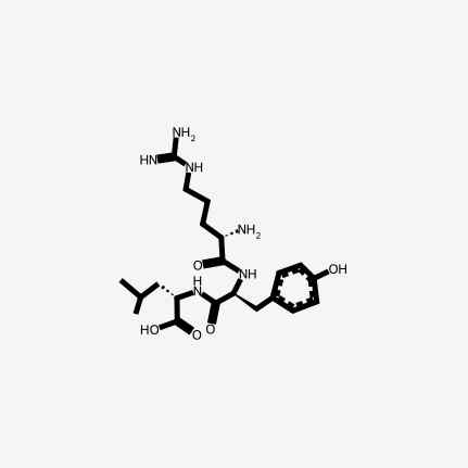 CC(C)C[C@H](NC(=O)[C@H](Cc1ccc(O)cc1)NC(=O)[C@@H](N)CCCNC(=N)N)C(=O)O